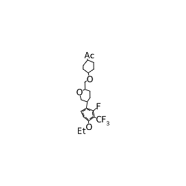 CCOc1ccc(C2CCC(COC3CCC(C(C)=O)CC3)OC2)c(F)c1C(F)(F)F